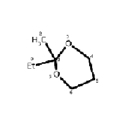 [CH2]CC1(C)OCCCO1